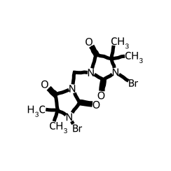 CC1(C)C(=O)N(CN2C(=O)N(Br)C(C)(C)C2=O)C(=O)N1Br